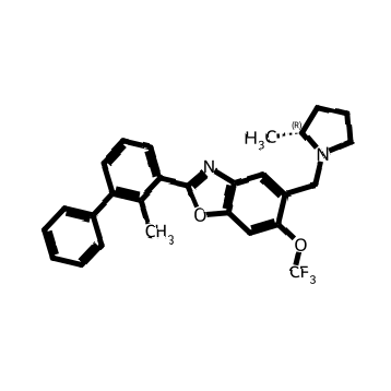 Cc1c(-c2ccccc2)cccc1-c1nc2cc(CN3CCC[C@H]3C)c(OC(F)(F)F)cc2o1